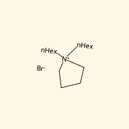 CCCCCC[N+]1(CCCCCC)CCCC1.[Br-]